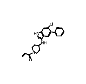 C=CC(=O)N1CCC(Nc2n[nH]c3cc(Cl)c(-c4ccccc4)cc23)CC1